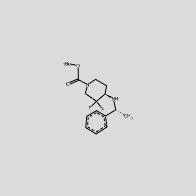 C[C@@H](N[C@@H]1CCN(C(=O)OC(C)(C)C)CC1(F)F)c1ccccc1